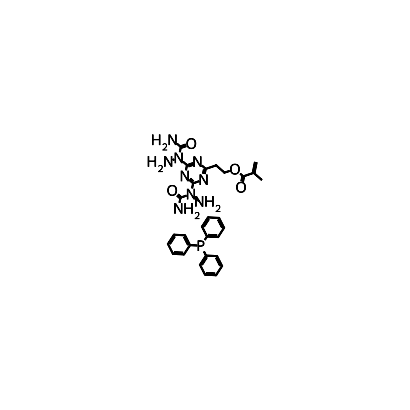 C=C(C)C(=O)OCCc1nc(N(N)C(N)=O)nc(N(N)C(N)=O)n1.c1ccc(P(c2ccccc2)c2ccccc2)cc1